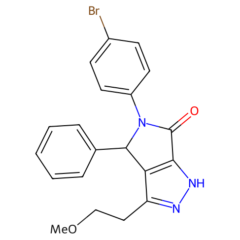 COCCc1n[nH]c2c1C(c1ccccc1)N(c1ccc(Br)cc1)C2=O